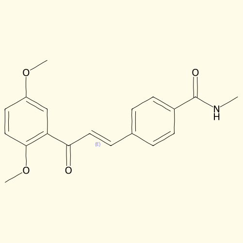 CNC(=O)c1ccc(/C=C/C(=O)c2cc(OC)ccc2OC)cc1